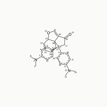 CN(C)c1ccc(S2(c3ccc(N(C)C)cc3)CC(=O)C3=COC4C=CC=CC342)cc1